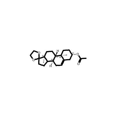 CC(=O)O[C@H]1CC[C@@]2(C)C(=CC[C@H]3C4CCC5(OCCO5)[C@@]4(C)CC[C@@H]32)C1